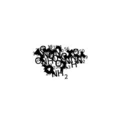 CC[C@H](C)[C@@H]([C@@H](CC(=O)N1CCC[C@H]1[C@H](OC)[C@@H](C)C(=O)N[C@H](C(=O)NCc1ccc(N)cc1)C1CC1)OC)N(C)C(=O)[C@@H](NC(=O)[C@H](C(C)C)N(C)C)C(C)C